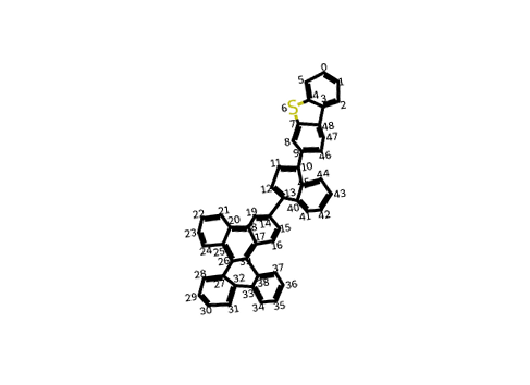 c1ccc2c(c1)sc1cc(-c3ccc(-c4ccc5c(c4)c4ccccc4c4c6ccccc6c6ccccc6c54)c4ccccc34)ccc12